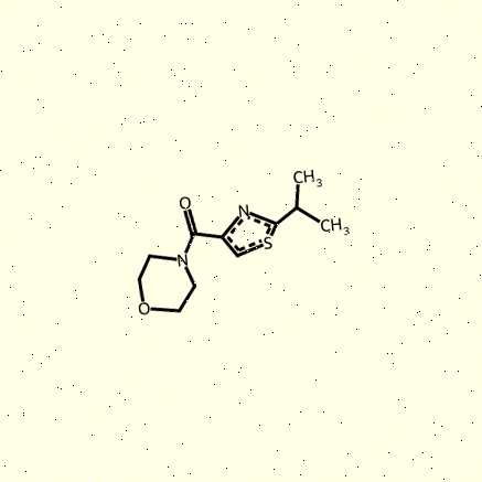 CC(C)c1nc(C(=O)N2CCOCC2)cs1